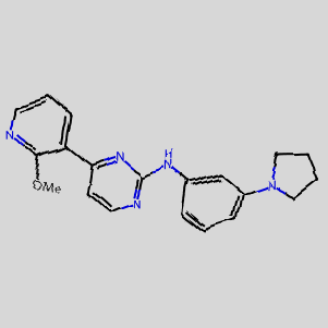 COc1ncccc1-c1ccnc(Nc2cccc(N3CCCC3)c2)n1